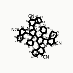 N#Cc1cc2c(c3c1C1CCC3CC1)c1cc(-c3cc4c5c6c(c(C#N)cc5n5c7cc(C#N)c8c(c7c(c3-c3ccccc3)c45)C3CCC8CC3)C3CCC6CC3)c(-c3ccccc3)c3c4c5c(c(C#N)cc4n2c13)C1CCC5CC1